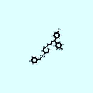 Fc1ccc(C(CCCN2CCC(=NOCc3ccccc3)CC2)c2ccc(F)cc2)cc1